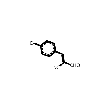 N#C/C(C=O)=C\c1ccc(Cl)cc1